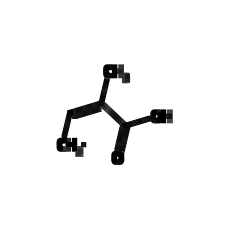 [CH2]C=C(C)C(=O)O